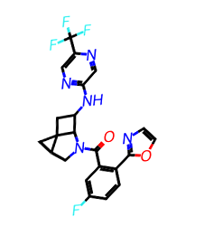 O=C(c1cc(F)ccc1-c1ncco1)N1CC2CC23CC(Nc2cnc(C(F)(F)F)cn2)C13